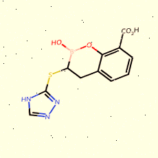 O=C(O)c1cccc2c1OB(O)C(Sc1nnc[nH]1)C2